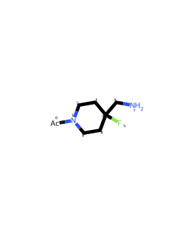 CC(=O)N1CCC(F)(CN)CC1